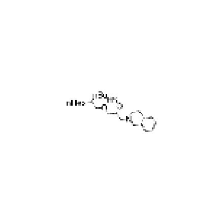 CCCCCCC(CCCC)COCC(C[N+]1=Cc2ccccc2CC1)OS